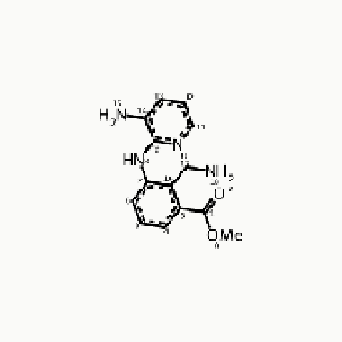 COC(=O)c1cccc(Nc2ncccc2N)c1CN